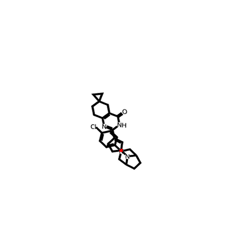 O=c1[nH]c(C2=CC(N3C4CCC3CN(c3ccc(Cl)cc3)C4)CC2)nc2c1CC1(CC2)CC1